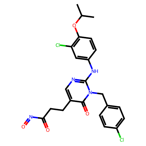 CC(C)Oc1ccc(Nc2ncc(CCC(=O)N=O)c(=O)n2Cc2ccc(Cl)cc2)cc1Cl